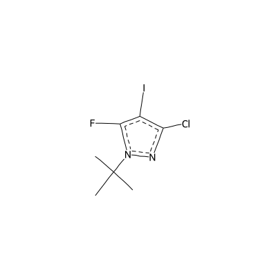 CC(C)(C)n1nc(Cl)c(I)c1F